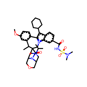 COc1ccc2c(c1)C(C)C(C)(C(=O)N1C3COCC1CN(C(C)C)C3)Cn1c-2c(C2CCCCC2)c2ccc(C(=O)NS(=O)(=O)N(C)C)cc21